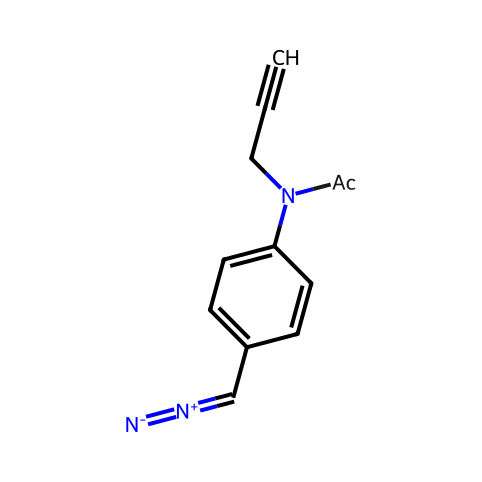 C#CCN(C(C)=O)c1ccc(C=[N+]=[N-])cc1